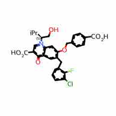 CC(C)[C@@H](CO)n1cc(C(=O)O)c(=O)c2cc(Cc3cccc(Cl)c3F)c(OCc3ccc(C(=O)O)cc3)cc21